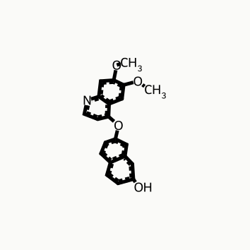 COc1cc2nccc(Oc3ccc4ccc(O)cc4c3)c2cc1OC